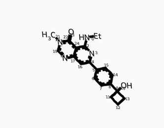 CCNc1nc(-c2ccc(C3(O)CCC3)cc2)cc2ncn(C)c(=O)c12